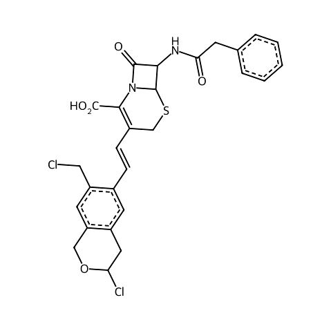 O=C(Cc1ccccc1)NC1C(=O)N2C(C(=O)O)=C(/C=C/c3cc4c(cc3CCl)COC(Cl)C4)CSC12